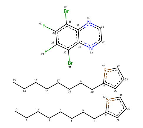 CCCCCCCCc1cccs1.CCCCCCCCc1cccs1.Fc1c(F)c(Br)c2nccnc2c1Br